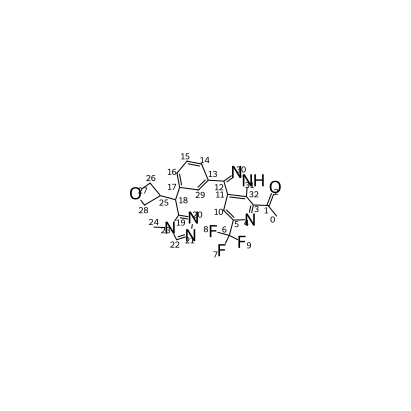 CC(=O)c1nc(C(F)(F)F)cc2c(-c3cccc(C(c4nncn4C)C4COC4)c3)n[nH]c12